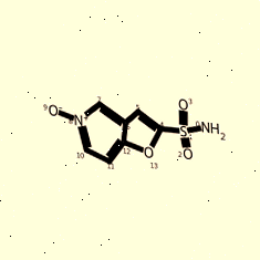 NS(=O)(=O)c1cc2c[n+]([O-])ccc2o1